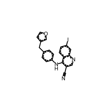 N#Cc1cnc2cc(I)ccc2c1Nc1ccc(Cc2ccoc2)cc1